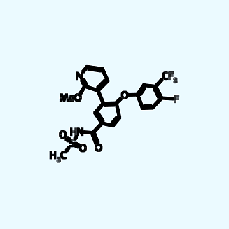 COc1ncccc1-c1cc(C(=O)NS(C)(=O)=O)ccc1Oc1ccc(F)c(C(F)(F)F)c1